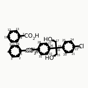 O=C(O)c1ccccc1.O=C(O)c1ccccc1.OCC(CO)(c1ccc(Cl)cc1)c1ccc(Cl)cc1